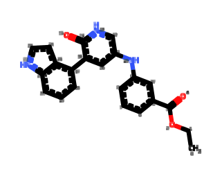 CCOC(=O)c1cccc(Nc2c[nH]c(=O)c(-c3cccc4[nH]ccc34)c2)c1